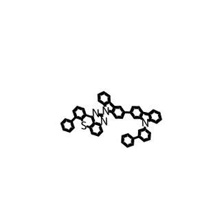 c1ccc(-c2cccc(-n3c4ccccc4c4ccc(-c5ccc6c(c5)c5ccccc5n6-c5nc6c7c(cccc7n5)Sc5c(-c7ccccc7)cccc5-6)cc43)c2)cc1